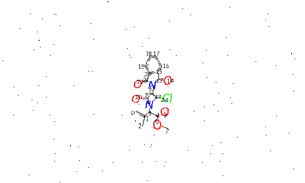 C=C(C)C(C(=O)OC)N1C(=O)[C@H](N2C(=O)c3ccccc3C2=O)[C@H]1Cl